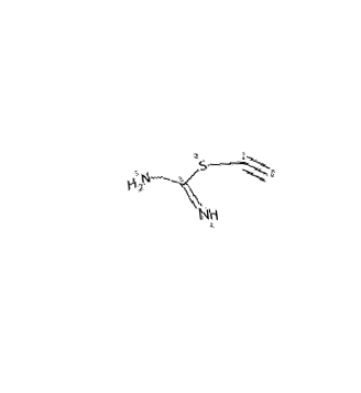 C#CSC(=N)N